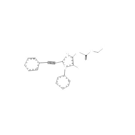 CCOC(=O)Oc1nc(C#Cc2ccccc2)n(-c2ccccc2)c1C